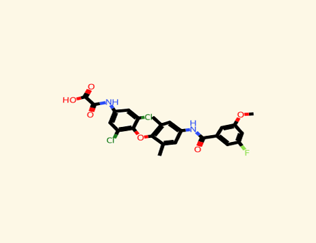 COc1cc(F)cc(C(=O)Nc2cc(C)c(Oc3c(Cl)cc(NC(=O)C(=O)O)cc3Cl)c(C)c2)c1